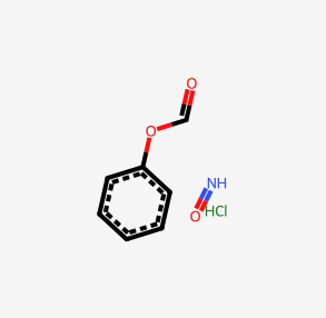 Cl.N=O.O=COc1ccccc1